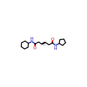 O=C(C/C=C/CC(=O)NC1CCCC1)NC1CCCCC1